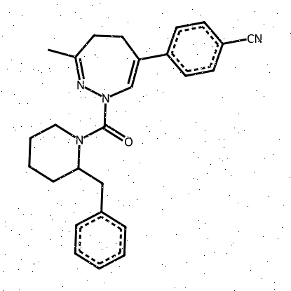 CC1=NN(C(=O)N2CCCCC2Cc2ccccc2)C=C(c2ccc(C#N)cc2)CC1